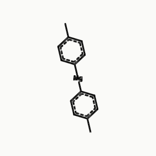 Cc1cc[c]([Mg][c]2ccc(C)cc2)cc1